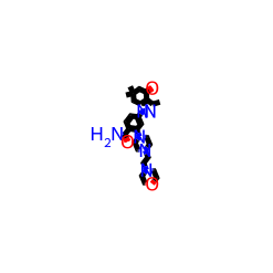 Cc1nn(-c2ccc(C(N)=O)c(N3CCN(CCN4CCOCC4)CC3)c2)c2c1C(=O)CC(C)(C)C2